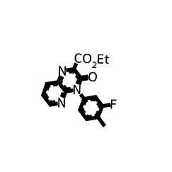 CCOC(=O)c1nc2cccnc2n(-c2ccc(C)c(F)c2)c1=O